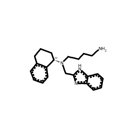 NCCCCN(Cc1nc2ccccc2[nH]1)[C@H]1CCCc2ccccc21